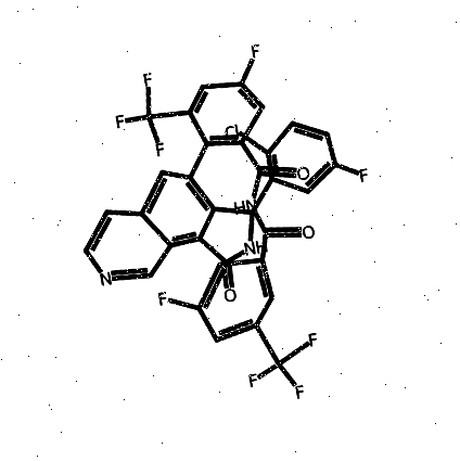 O=C(NC(=O)c1cc(F)cc(C(F)(F)F)c1-c1cc2ccncc2c2c1C(c1cc(F)ccc1Cl)NC2=O)c1cc(F)cc(C(F)(F)F)c1